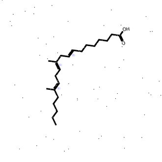 CCCCC/C(C)=C/C/C=C(\C)C/C=C/CCCCCCC(=O)O